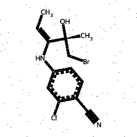 CC=C(Nc1ccc(C#N)c(Cl)c1)[C@](C)(O)CBr